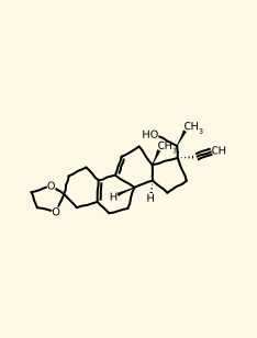 C#C[C@]1([C@H](C)O)CC[C@H]2[C@@H]3CCC4=C(CCC5(C4)OCCO5)C3=CC[C@@]21C